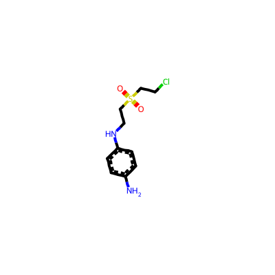 Nc1ccc(NCCS(=O)(=O)CCCl)cc1